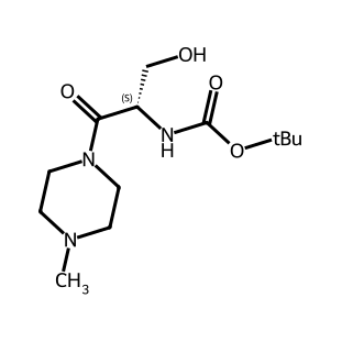 CN1CCN(C(=O)[C@H](CO)NC(=O)OC(C)(C)C)CC1